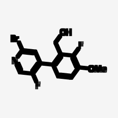 COc1ccc(-c2cc(Br)ncc2F)c(CO)c1F